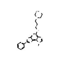 Cn1cnc2c(NCCCN3CCOCC3)nc3oc(-c4ccccc4)nc3c21